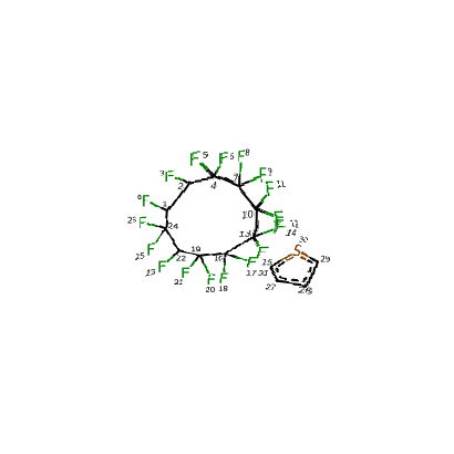 FC1C(F)C(F)(F)C(F)(F)C(F)(F)C(F)(F)C(F)(F)C(F)(F)C(F)C1(F)F.c1ccsc1